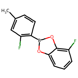 Cc1ccc(B2Oc3cccc(F)c3O2)c(F)c1